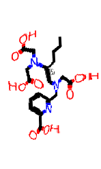 CCCC[C@@H](CN(CC(=O)O)Cc1cccc(C(=O)O)n1)N(CC(=O)O)CC(=O)O